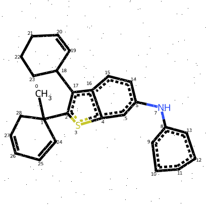 CC1(c2sc3cc(Nc4ccccc4)ccc3c2C2C=CCCC2)C=CC=CC1